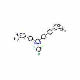 C=C/C=C(\C=C/C)c1ccc(-c2ccc(-c3cc(-c4ccc(C(/C=C\C)=C/C=C)cc4)nc(-c4c(F)cc(F)cc4F)n3)cc2)cc1